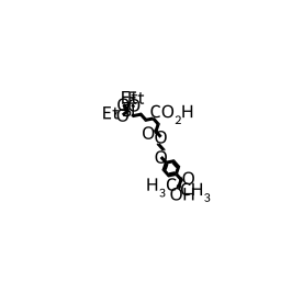 CCO[Si](CCCC(CC(=O)OCCOc1ccc(C(=O)C(C)(C)O)cc1)C(=O)O)(OCC)OCC